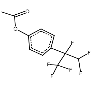 CC(=O)Oc1ccc(C(F)(C(F)F)C(F)(F)F)cc1